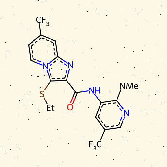 CCSc1c(C(=O)Nc2cc(C(F)(F)F)cnc2NC)nc2cc(C(F)(F)F)ccn12